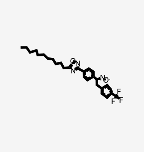 CCCCCCCCCCCc1nc(-c2ccc(C(Cc3ccc(C(F)(F)F)cc3)[N][O])cc2)no1